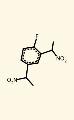 CC(c1ccc(F)c(C(C)[N+](=O)[O-])c1)[N+](=O)[O-]